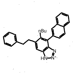 CCCCc1c(CCc2ccccc2)cc2c(c1-c1ccc3ccccc3c1)N=[N+]N2